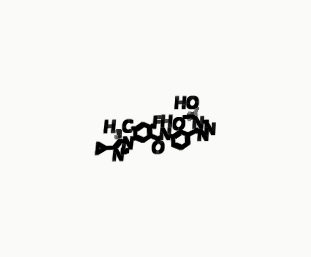 Cc1cc(F)c(C(=O)Nc2cccc3c2OC[C@H](CO)n2cnnc2-3)cc1-n1cnc(C2CC2)c1